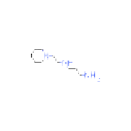 NCCCNCCN1CCCCC1